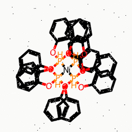 c1ccc(O[PH](Oc2ccccc2)(Oc2ccccc2)[Ni]([PH](Oc2ccccc2)(Oc2ccccc2)Oc2ccccc2)([PH](Oc2ccccc2)(Oc2ccccc2)Oc2ccccc2)[PH](Oc2ccccc2)(Oc2ccccc2)Oc2ccccc2)cc1